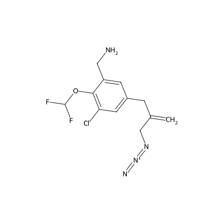 C=C(CN=[N+]=[N-])Cc1cc(Cl)c(OC(F)F)c(CN)c1